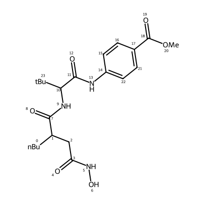 CCCCC(CC(=O)NO)C(=O)NC(C(=O)Nc1ccc(C(=O)OC)cc1)C(C)(C)C